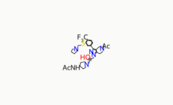 CC(=O)NC1CCN(C[C@H](O)Cn2nc(-c3ccc(C(F)(F)F)c(SCCN4CCCC4)c3)c3c2CCN(C(C)=O)C3)CC1